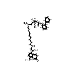 CN(CCCCCCCCCNC[C@H](O)c1ccc(O)c2[nH]c(=O)ccc12)CCC(C)(C)OC(=O)Nc1ccccc1-c1ccccc1